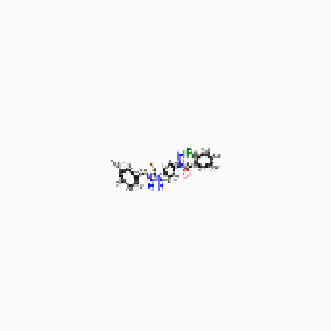 O=C(Nc1ccc(NC(=S)NCc2ccccc2)cc1)c1ccccc1F